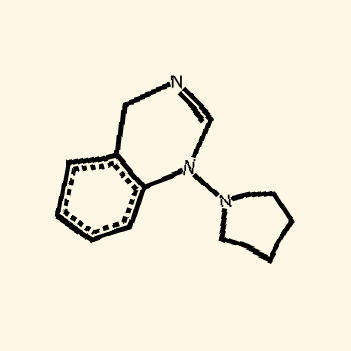 C1=NCc2ccccc2N1N1CCCC1